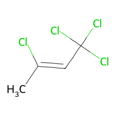 CC(Cl)=CC(Cl)(Cl)Cl